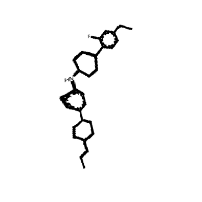 CCCC1CCC(c2ccc(NC3CCC(c4ccc(CC)cc4F)CC3)cc2)CC1